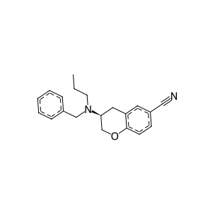 CCCN(Cc1ccccc1)[C@@H]1COc2ccc(C#N)cc2C1